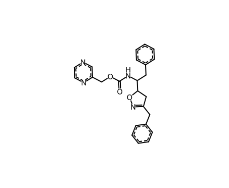 O=C(NC(Cc1ccccc1)C1CC(Cc2ccccc2)=NO1)OCc1cnccn1